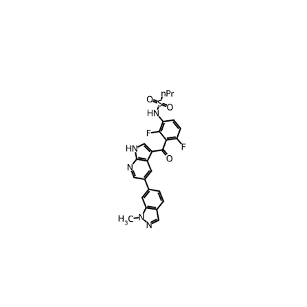 CCCS(=O)(=O)Nc1ccc(F)c(C(=O)c2c[nH]c3ncc(-c4ccc5cnn(C)c5c4)cc23)c1F